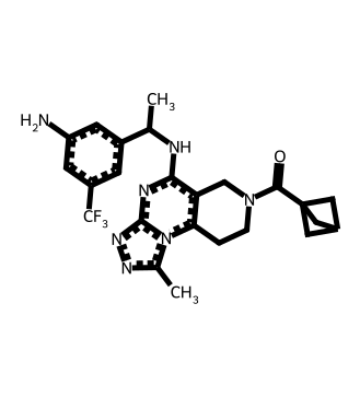 Cc1nnc2nc(NC(C)c3cc(N)cc(C(F)(F)F)c3)c3c(n12)CCN(C(=O)C12CC(C1)C2)C3